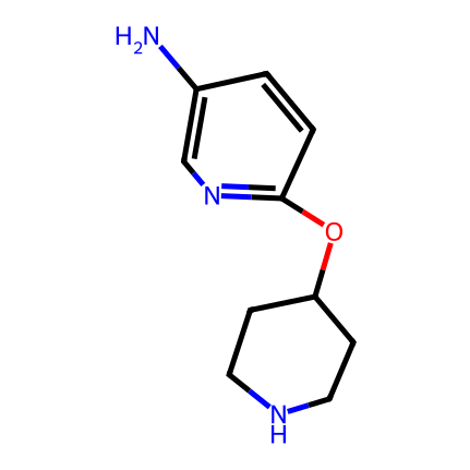 Nc1ccc(OC2CCNCC2)nc1